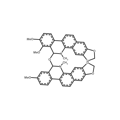 COc1ccc2c(c1)C(OC1c3c(ccc(OC)c3OC)-c3ccc4cc5c(cc4c3N1C)OCO5)N(C)c1c-2ccc2cc3c(cc12)OCO3